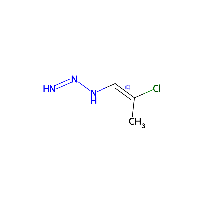 C/C(Cl)=C\NN=N